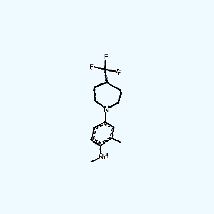 CNc1ccc(N2CCC(C(F)(F)F)CC2)cc1C